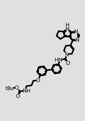 CC(C)(C)OC(=O)NCCCOc1cccc(-c2cccc(NC(=O)N3CC=C(c4ncnc5[nH]c6c(c45)CCC6)CC3)c2)c1